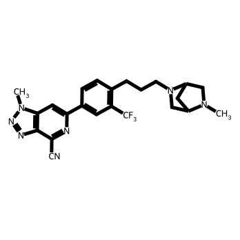 CN1CC2CC1CN2CCCc1ccc(-c2cc3c(nnn3C)c(C#N)n2)cc1C(F)(F)F